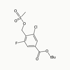 CC(C)(C)OC(=O)c1cc(F)c(COS(C)(=O)=O)c(Cl)c1